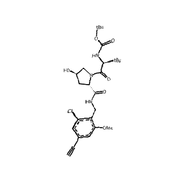 C#Cc1cc(Cl)c(CNC(=O)[C@@H]2C[C@@H](O)CN2C(=O)[C@@H](NC(=O)OC(C)(C)C)C(C)(C)C)c(OC)c1